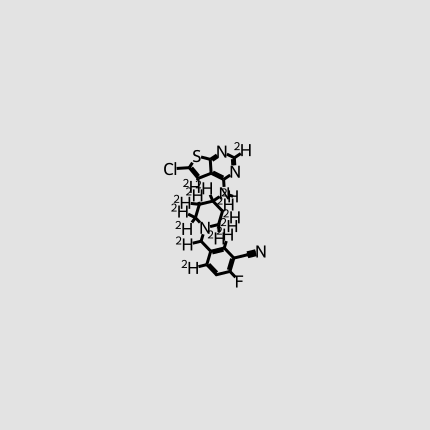 [2H]c1nc(N([2H])C2([2H])C([2H])([2H])C([2H])([2H])N(C([2H])c3c([2H])cc(F)c(C#N)c3[2H])C([2H])([2H])C2([2H])[2H])c2c([2H])c(Cl)sc2n1